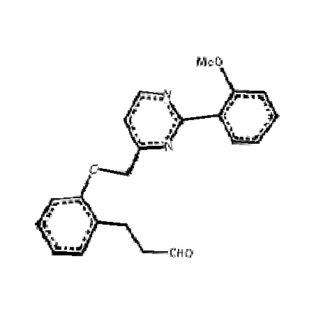 COc1ccccc1-c1nccc(COc2ccccc2C[CH]C=O)n1